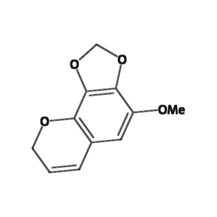 COc1cc2c(c3c1OCO3)OCC=C2